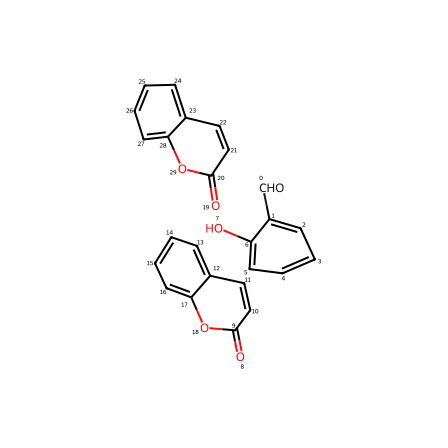 O=Cc1ccccc1O.O=c1ccc2ccccc2o1.O=c1ccc2ccccc2o1